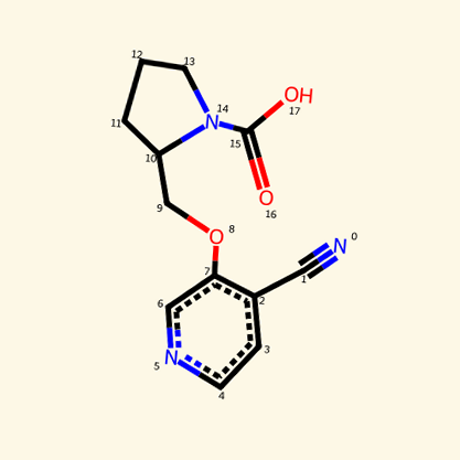 N#Cc1ccncc1OCC1CCCN1C(=O)O